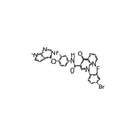 Cn1ccc2c(Oc3ccc(NC(=O)c4cn(-c5ccc(Br)cc5F)c5ncccc5c4=O)cc3F)ncnc21